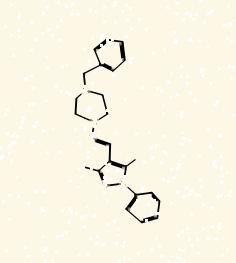 Cc1nn(-c2ccccc2)c(C)c1/C=N/N1CCN(Cc2ccccc2)CC1